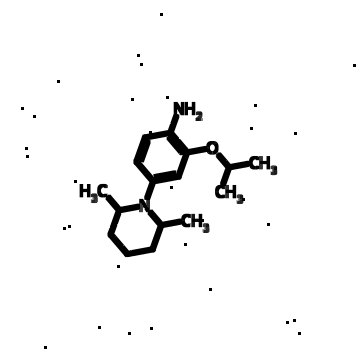 CC(C)Oc1cc(N2C(C)CCCC2C)ccc1N